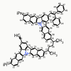 C#Cc1cc2c3cc4cc(C(C)C)ccc4cc3n3c4cc5ccc(C(C)CCC(C)c6ccc7cc8c(cc7c6)c6cc(C=C(c7ccccc7)c7ccccc7)cc7c9cc%10cc(C(C)C)ccc%10cc9n8c76)cc5cc4c(c1)c23